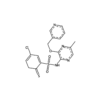 Cc1cnc(NS(=O)(=O)C2=CC(Cl)=CCC2=S)c(OCc2cccnc2)n1